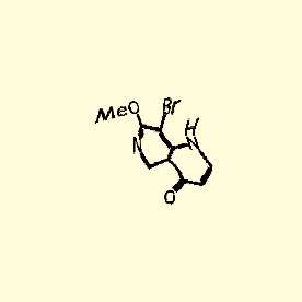 COC1=NCC2C(=O)C=CNC2=C1Br